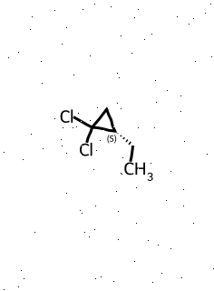 CC[C@H]1CC1(Cl)Cl